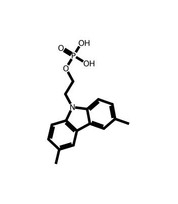 Cc1ccc2c(c1)c1cc(C)ccc1n2CCOP(=O)(O)O